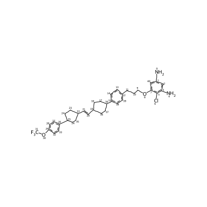 Nc1cc(N)c(Cl)c(OCCCc2ccc(C3CCC(/C=C/C4CCC(c5ccc(OC(F)(F)F)cc5)CC4)CC3)cc2)c1